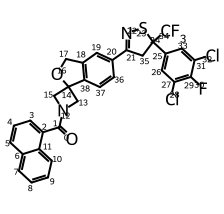 O=C(c1cccc2ccccc12)N1CC2(C1)OCc1cc(C3=NSC(c4cc(Cl)c(F)c(Cl)c4)(C(F)(F)F)C3)ccc12